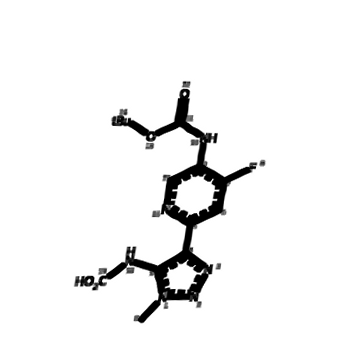 Cn1nnc(-c2cc(F)c(NC(=O)OC(C)(C)C)cn2)c1NC(=O)O